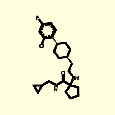 O=C(NCC1CC1)C1(NCC[C@H]2CC[C@@H](c3ccc(F)cc3Cl)CC2)CCCC1